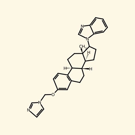 C[C@]12CC[C@@H]3c4ccc(OCn5ccnc5)cc4CC[C@H]3[C@@H]1CCC2n1cnc2ccccc21